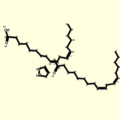 C1=C[IH][IH]C1.CCCCC/C=C\C/C=C\CCCCCCCC(=O)O.CCCCC/C=C\C/C=C\CCCCCCCC(=O)O